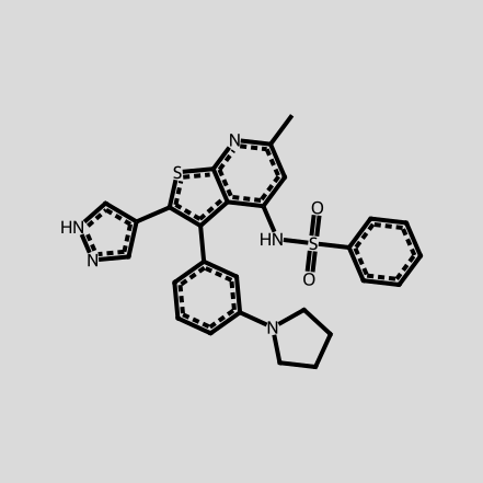 Cc1cc(NS(=O)(=O)c2ccccc2)c2c(-c3cccc(N4CCCC4)c3)c(-c3cn[nH]c3)sc2n1